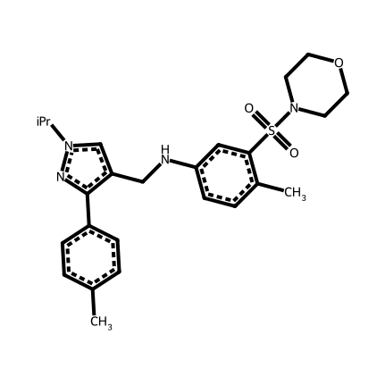 Cc1ccc(-c2nn(C(C)C)cc2CNc2ccc(C)c(S(=O)(=O)N3CCOCC3)c2)cc1